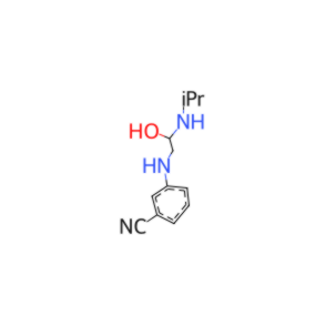 CC(C)NC(O)CNc1cccc(C#N)c1